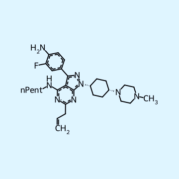 C=CCc1nc(NCCCCC)c2c(-c3ccc(N)c(F)c3)nn([C@H]3CC[C@@H](N4CCN(C)CC4)CC3)c2n1